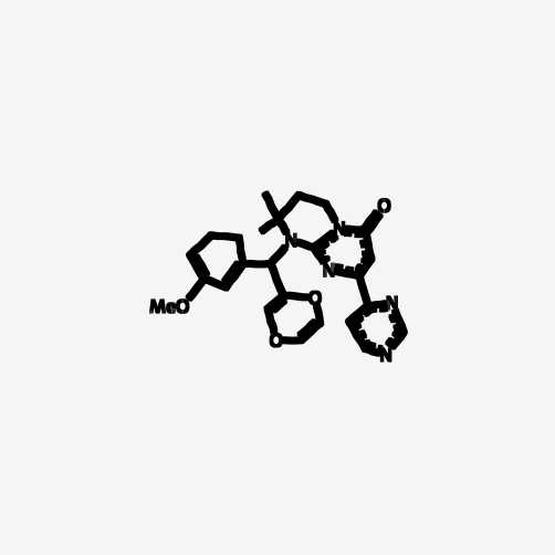 COC1=CCCC(C(C2=COC=CO2)N2c3nc(-c4ccncn4)cc(=O)n3CCC2(C)C)=C1